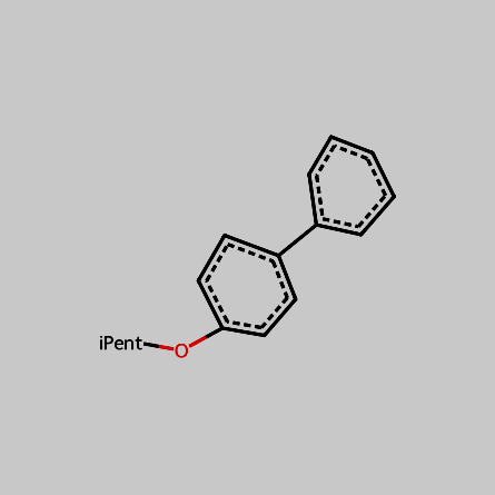 CCCC(C)Oc1ccc(-c2ccccc2)cc1